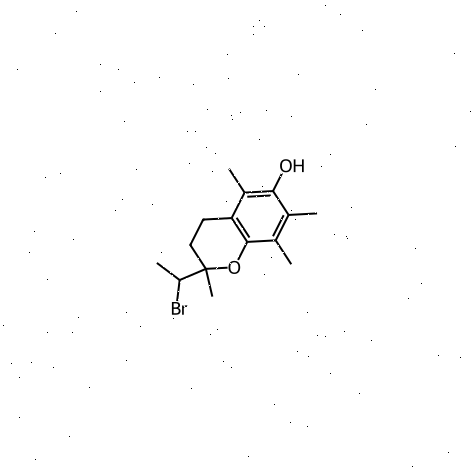 Cc1c(C)c2c(c(C)c1O)CCC(C)(C(C)Br)O2